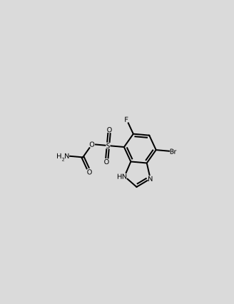 NC(=O)OS(=O)(=O)c1c(F)cc(Br)c2nc[nH]c12